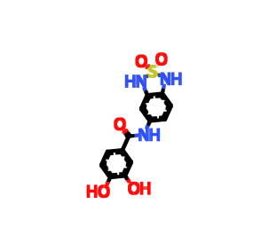 O=C(Nc1ccc2c(c1)NS(=O)(=O)N2)c1ccc(O)c(O)c1